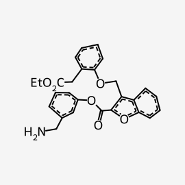 CCOC(=O)Cc1ccccc1OCc1c(C(=O)Oc2cccc(CN)c2)oc2ccccc12